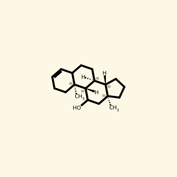 C[C@@]12CCC[C@H]1[C@@H]1CCC3C=CCC[C@]3(C)[C@H]1C(O)C2